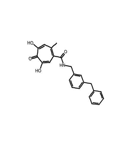 Cc1cc(O)c(=O)c(O)cc1C(=O)NCc1cccc(Cc2ccccc2)c1